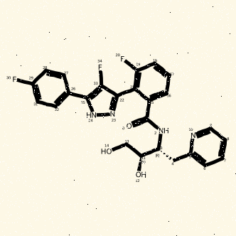 O=C(N[C@H](Cc1ccccn1)[C@@H](O)CO)c1cccc(F)c1-c1n[nH]c(-c2ccc(F)cc2)c1F